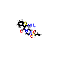 C=CCS(=O)(=O)N1CCN(C(=O)c2c(N)sc3ccccc23)CC1